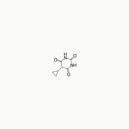 O=C1NC(=O)C(C2CC2)C(=O)N1